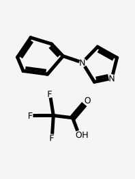 O=C(O)C(F)(F)F.c1ccc(-n2ccnc2)cc1